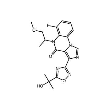 COCC(C)n1c(=O)c2c(-c3noc(C(C)(C)O)n3)ncn2c2cccc(F)c21